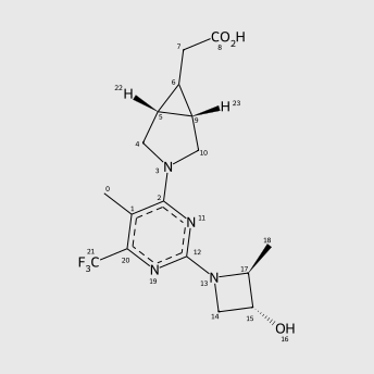 Cc1c(N2C[C@@H]3C(CC(=O)O)[C@@H]3C2)nc(N2C[C@@H](O)[C@@H]2C)nc1C(F)(F)F